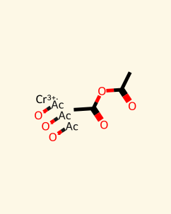 CC(=O)OC(C)=O.CC(=O)[O-].CC(=O)[O-].CC(=O)[O-].[Cr+3]